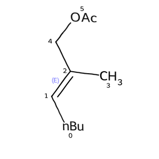 CCCC/C=C(\C)COC(C)=O